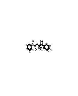 N=C(CC(=S)Nc1ccccc1)Nc1ccccc1